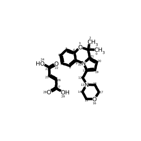 CC1(C)Oc2ccccc2-n2c(CN3CCOCC3)ccc21.O=C(O)C=CC(=O)O